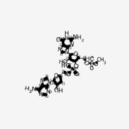 COP(=O)(O)OC[C@H]1O[C@@H](n2cnc3c(=O)[nH]c(N)nc32)[C@H](O)[C@@H]1OP(=O)(O)OC[C@@H]1C[C@@H](O)[C@H](n2cnc3c(N)ncnc32)O1